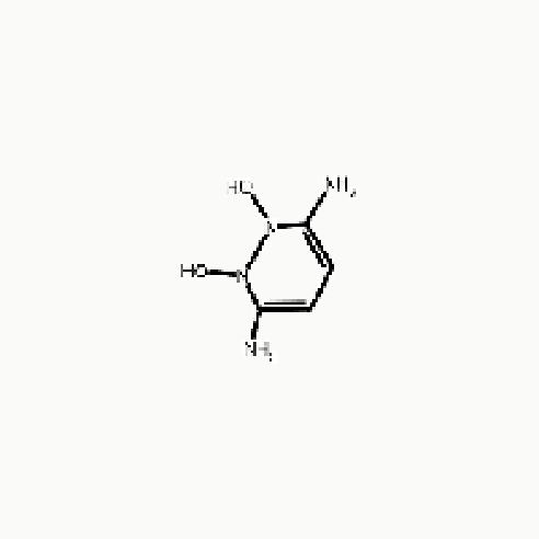 NC1=CC=C(N)N(O)N1O